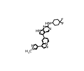 Cn1cc(-c2cnn3ccc(-c4c[nH]c5nc(NC6CCC(F)(F)CC6)ncc45)cc23)cn1